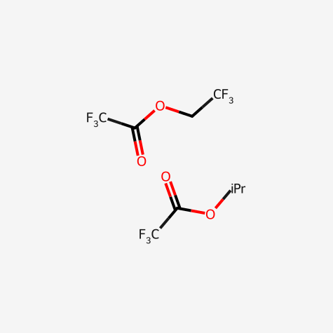 CC(C)OC(=O)C(F)(F)F.O=C(OCC(F)(F)F)C(F)(F)F